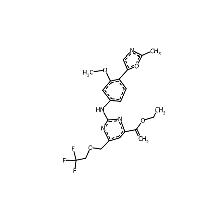 C=C(OCC)c1cc(COCC(F)(F)F)nc(Nc2ccc(-c3cnc(C)o3)c(OC)c2)n1